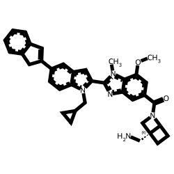 COc1cc(C(=O)N2C[C@]3(CN)CCC23)cc2nc(-c3cc4cc(C5=Cc6ccccc6C5)ccc4n3CC3CC3)n(C)c12